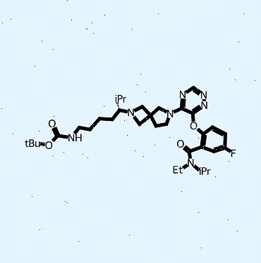 CCN(C(=O)c1cc(F)ccc1Oc1nncnc1N1CCC2(C1)CN([C@H](CCCCNC(=O)OC(C)(C)C)C(C)C)C2)C(C)C